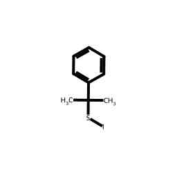 CC(C)(SI)c1ccccc1